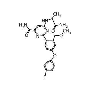 COCc1cc(Oc2ccc(F)cc2)ccc1-c1nc(NC(C)C(N)=O)cc(C(N)=O)n1